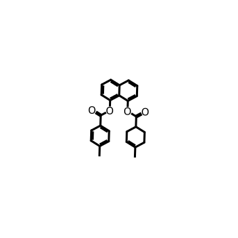 CC1=CCC(C(=O)Oc2cccc3cccc(OC(=O)c4ccc(C)cc4)c23)CC1